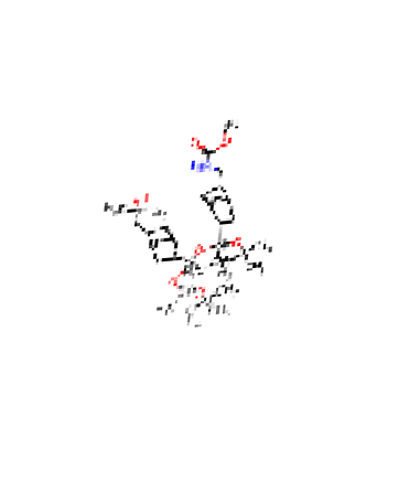 C[SiH](O[Si](C)(C)C)O[Si](C)(O[Si](C)(O[Si](C)(C)C)C1CC2CC1CC2CNC(=O)OC(C)(C)C)C1CC2CC1CC2CC(C)(O)C(F)(F)F